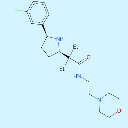 CCC(CC)(C(=O)NCCN1CCOCC1)[C@H]1CC[C@@H](c2cccc(F)c2)N1